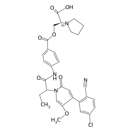 CCC(C(=O)Nc1ccc(C(=O)OC[C@@H](C(=O)O)N2CCCC2)cc1)n1cc(OC)c(-c2cc(Cl)ccc2C#N)cc1=O